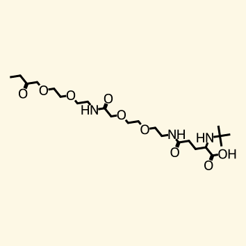 CCC(=O)COCCOCCNC(=O)COCCOCCNC(=O)CCC(NC(C)(C)C)C(=O)O